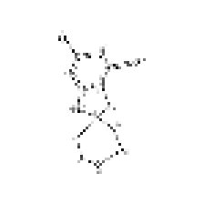 O=c1nc(Cl)cc2n1CC1(CCOCC1)N2